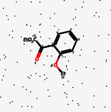 CCOC(=O)C(=O)c1ccccc1OCC